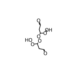 O=CCC(OO)OOC(CC=O)OO